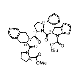 COC(=O)[C@H]1CCCN1C(=O)[C@H]1Cc2ccccc2CN1C(=O)[C@@H]1CC[C@H](c2ccccc2)N1C(=O)[C@H]1Cc2ccccc2N1C(=O)OC(C)(C)C